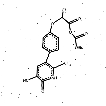 CCC(Oc1ccc(-c2cc(C#N)c(=O)[nH]c2C)cc1)C(=O)OC(=O)OCC(C)C